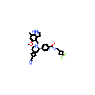 COc1cc(C)c2[nH]ccc2c1CN1CCC2(CC(C#N)C2)C[C@H]1c1ccc(C(=O)NCC2CC(F)(F)C2)cc1